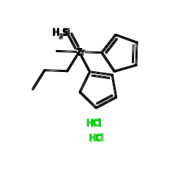 CC[CH2][Zr]([CH3])(=[SiH2])([C]1=CC=CC1)[C]1=CC=CC1.Cl.Cl